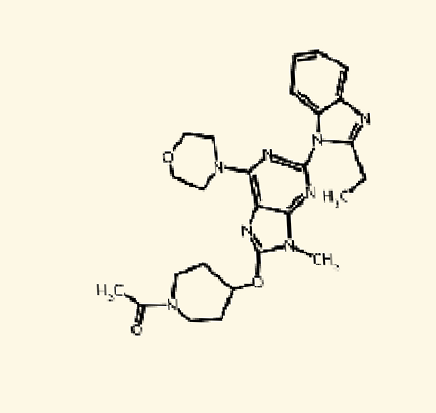 CCc1nc2ccccc2n1-c1nc(N2CCOCC2)c2nc(OC3CCN(C(C)=O)CC3)n(C)c2n1